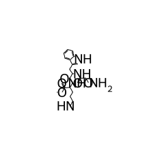 CNCCCC(NC(=O)C(Cc1c[nH]c2ccccc12)NC(=O)CON)C(=O)OC